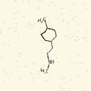 CNSCC1CCC(C)CC1